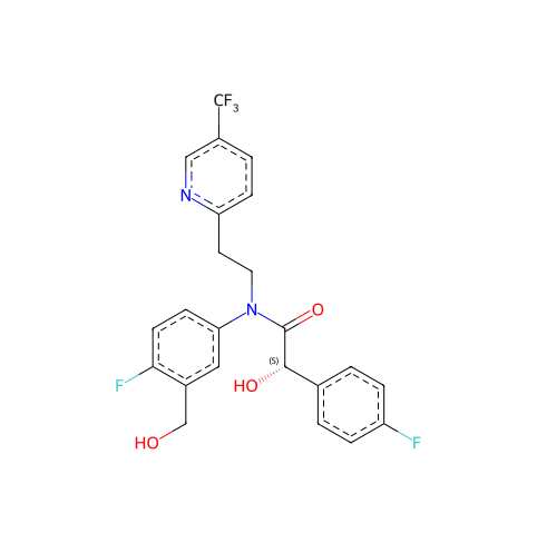 O=C([C@@H](O)c1ccc(F)cc1)N(CCc1ccc(C(F)(F)F)cn1)c1ccc(F)c(CO)c1